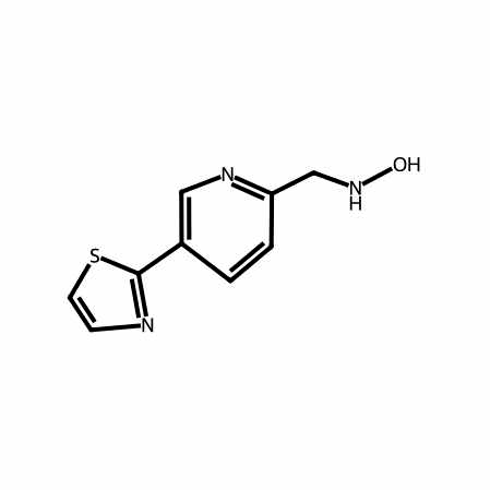 ONCc1ccc(-c2nccs2)cn1